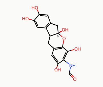 O=CNc1c(O)cc2c(c1O)O[C@@]1(O)Cc3cc(O)c(O)cc3C1C2